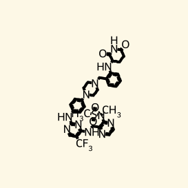 CN(c1nccnc1CNc1nc(Nc2ccc(N3CCN(Cc4ccccc4NC4CCC(=O)NC4=O)CC3)cc2)ncc1C(F)(F)F)S(C)(=O)=O